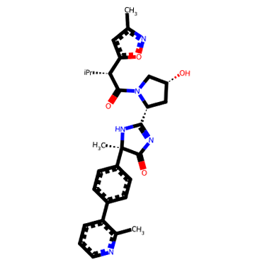 Cc1cc([C@H](C(=O)N2C[C@H](O)C[C@@H]2C2=NC(=O)[C@@](C)(c3ccc(-c4cccnc4C)cc3)N2)C(C)C)on1